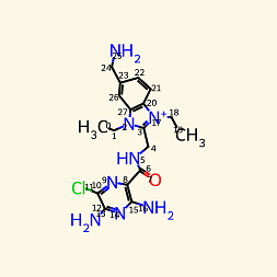 CCn1c(CNC(=O)c2nc(Cl)c(N)nc2N)[n+](CC)c2ccc(CN)cc21